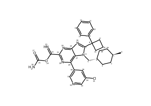 C[C@H]1CC[C@H](Cn2c(C3(c4ccccc4)CCC3)nc3nc(C(=N)OC(N)=O)nc(-c4cncc(Cl)c4)c32)CC1